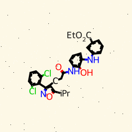 CCOC(=O)c1cccc(Nc2cccc(NC(=O)CCc3c(-c4c(Cl)cccc4Cl)noc3C(C)C)c2O)c1